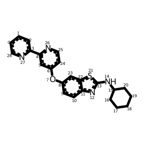 c1ccc(-c2cc(Oc3ccc4nc(NC5CCCCC5)sc4c3)ccn2)nc1